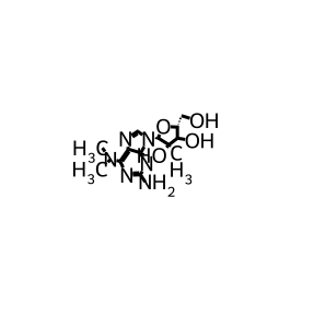 CN(C)c1nc(N)nc2c1ncn2[C@@H]1O[C@H](CO)C(O)[C@@]1(C)O